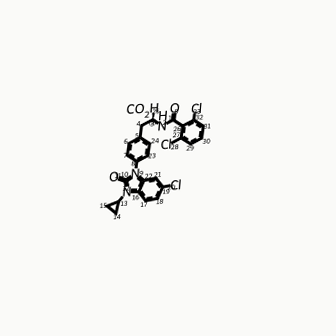 O=C(N[C@@H](Cc1ccc(-n2c(=O)n(C3CC3)c3ccc(Cl)cc32)cc1)C(=O)O)c1c(Cl)cccc1Cl